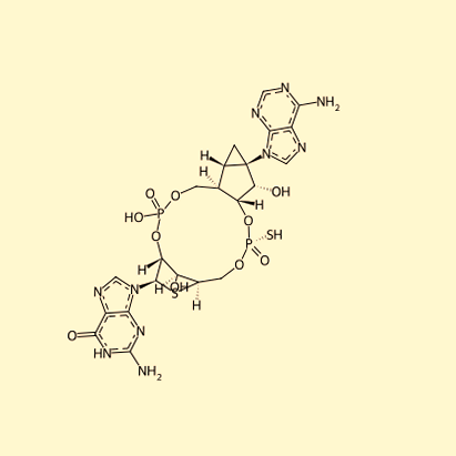 Nc1nc2c(ncn2[C@@H]2S[C@@H]3CO[P@@](=O)(S)O[C@@H]4[C@@H](COP(=O)(O)O[C@@H]2[C@@H]3O)[C@@H]2C[C@]2(n2cnc3c(N)ncnc32)[C@@H]4O)c(=O)[nH]1